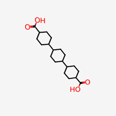 O=C(O)C1CCC(C2CCC(C3CCC(C(=O)O)CC3)CC2)CC1